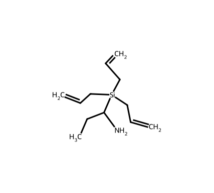 C=CC[Si](CC=C)(CC=C)C(N)CC